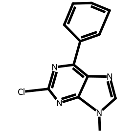 Cn1cnc2c(-c3ccccc3)nc(Cl)nc21